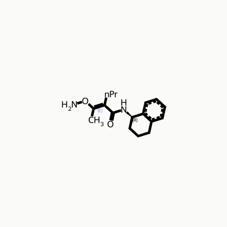 CCC/C(C(=O)N[C@@H]1CCCc2ccccc21)=C(/C)ON